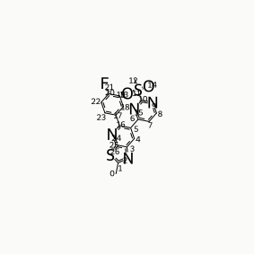 Cc1nc2cc(-c3ccnc(S(C)(=O)=O)n3)c(-c3ccc(F)cc3)nc2s1